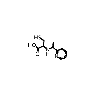 CC(NC(CS)C(=O)O)c1ccccn1